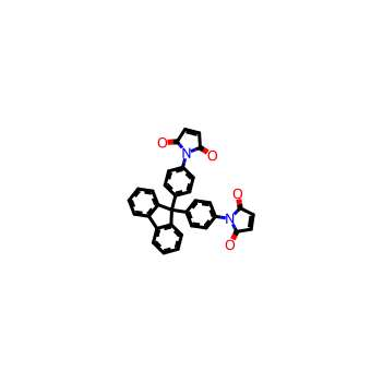 O=C1C=CC(=O)N1c1ccc(C2(c3ccc(N4C(=O)C=CC4=O)cc3)c3ccccc3-c3ccccc32)cc1